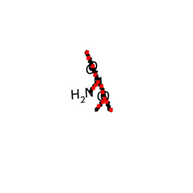 CCCCCCCCCOC(=O)CCCCCCCN(CCCCCCN)CCCCCCCC(=O)OC(CCCCCCCC)CCCCCCCC